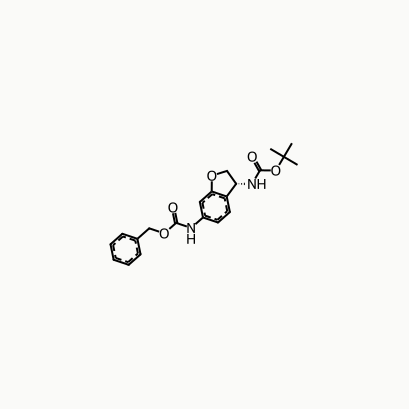 CC(C)(C)OC(=O)N[C@H]1COc2cc(NC(=O)OCc3ccccc3)ccc21